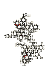 Cc1cccc(N2c3cc(C)ccc3B3c4cc5c(cc4N(c4ccc(C(C)(C)C)cc4-c4ccccc4)c4cc(C(C)(C)Cc6ccc(-c7ccc8c(c7)B7c9cc%10c(cc9N(c9ccc(C(C)(C)C)cc9-c9ccccc9)c9cc(C)cc(c97)N8c7ccc(C(C)(C)C)cc7-c7ccccc7)C(C)(C)c7ccccc7C%10(C)C)cc6)cc2c43)C(C)(C)c2ccccc2C5(C)C)c1